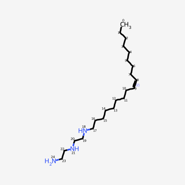 CCCCCCCC/C=C\CCCCCCCCNCCNCCN